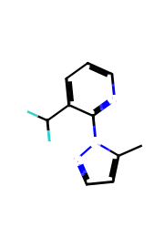 Cc1[c]cnn1-c1ncccc1C(F)F